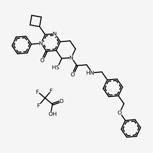 O=C(CNCc1ccc(COc2ccccc2)cc1)N1CCc2nc(C3CCC3)n(-c3ccccc3)c(=O)c2C1S.O=C(O)C(F)(F)F